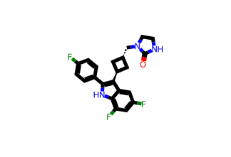 O=C1NCCN1C[C@H]1C[C@H](c2c(-c3ccc(F)cc3)[nH]c3c(F)cc(F)cc32)C1